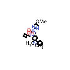 COc1cnc(N2C[C@]3(CC[C@](c4ccccc4)(N(C)C)CC3)N(CC3(O)CCC3)C2=O)nc1